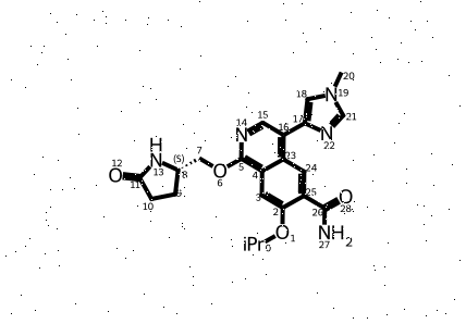 CC(C)Oc1cc2c(OC[C@@H]3CCC(=O)N3)ncc(-c3cn(C)cn3)c2cc1C(N)=O